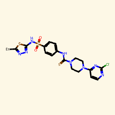 CCc1nnc(NS(=O)(=O)c2ccc(NC(=S)N3CCN(c4ccnc(Cl)n4)CC3)cc2)s1